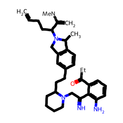 C=CCCC(C(=C)NC)N1Cc2cc(CCC3CCCCN3CC(=N)c3c(N)cccc3C(=O)CC)ccc2C1C